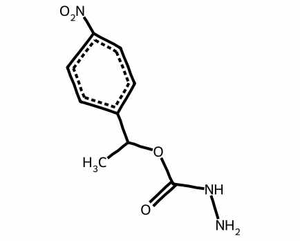 CC(OC(=O)NN)c1ccc([N+](=O)[O-])cc1